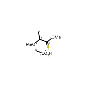 CC(=O)O.COC(=S)C(C)OC